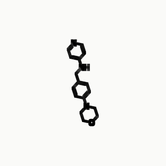 c1cc(NCc2ccc(N3CCOCC3)cc2)ccn1